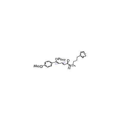 CCCCC/C(=C\C=C\C(=O)N[C@H](C)CCCc1ccsc1)c1ccc(OC)cc1